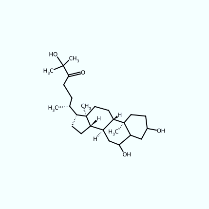 C[C@H](CCC(=O)C(C)(C)O)[C@H]1CC[C@H]2[C@@H]3CC(O)C4CC(O)CC[C@]4(C)[C@H]3CC[C@]12C